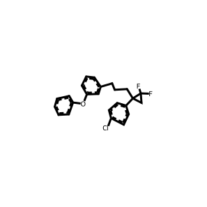 FC1(F)CC1(CCCc1cccc(Oc2ccccc2)c1)c1ccc(Cl)cc1